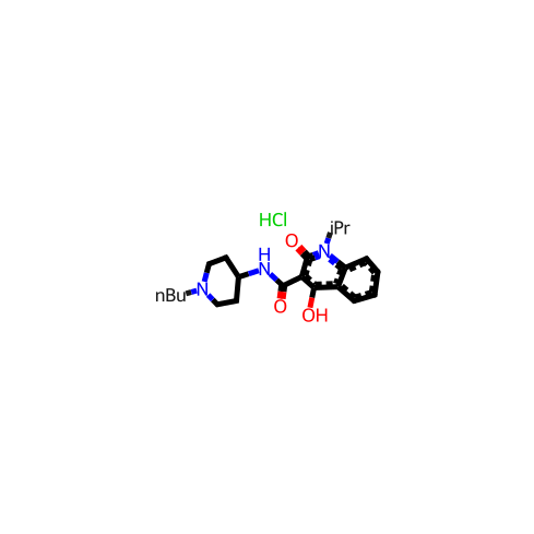 CCCCN1CCC(NC(=O)c2c(O)c3ccccc3n(C(C)C)c2=O)CC1.Cl